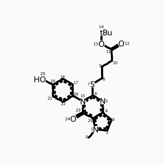 Cn1ccc2nc(SCCCC(=O)OC(C)(C)C)n(-c3ccc(O)cc3)c(=O)c21